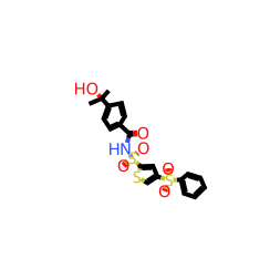 CC(C)(O)c1ccc(C(=O)NS(=O)(=O)c2cc(S(=O)(=O)c3ccccc3)cs2)cc1